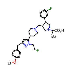 CCOc1ccc(Cc2cc(C3CCN(CC4CN(C(C(=O)O)C(C)CC)CC4c4cccc(F)c4)CC3)n(CCF)n2)cc1